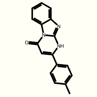 Cc1ccc(-c2cc(=O)n3c(nc4ccccc43)[nH]2)cc1